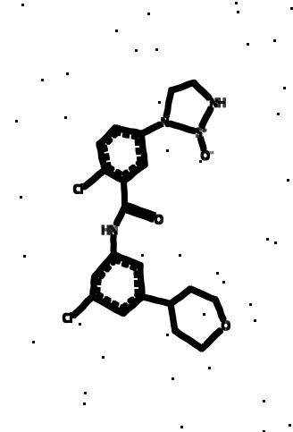 O=C(Nc1cc(Cl)cc(C2CCOCC2)c1)c1cc(N2CCN[S+]2[O-])ccc1Cl